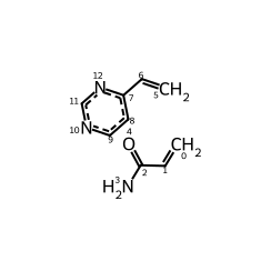 C=CC(N)=O.C=Cc1ccncn1